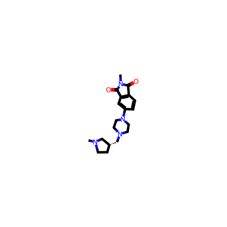 CN1CC[C@@H](CN2CCN(c3ccc4c(c3)C(=O)N(C)C4=O)CC2)C1